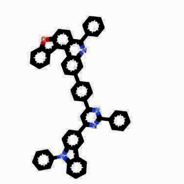 c1ccc(-c2nc(-c3ccc(-c4ccc5c(c4)nc(-c4ccccc4)c4ccc6oc7ccccc7c6c45)cc3)cc(-c3ccc4c(c3)c3ccccc3n4-c3ccccc3)n2)cc1